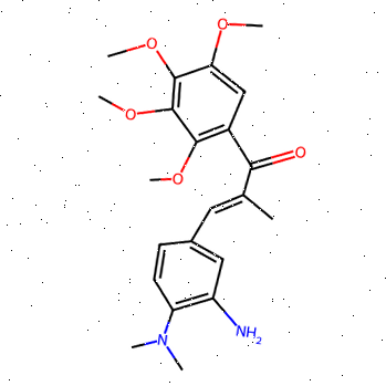 COc1cc(C(=O)C(C)=Cc2ccc(N(C)C)c(N)c2)c(OC)c(OC)c1OC